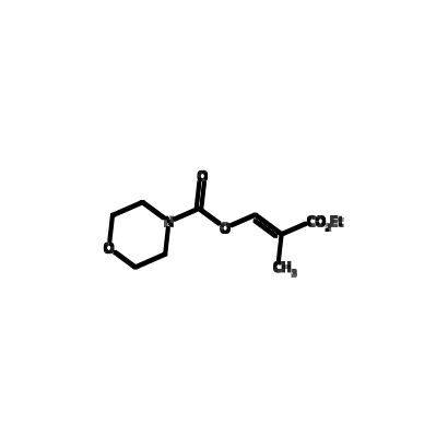 CCOC(=O)/C(C)=C/OC(=O)N1CCOCC1